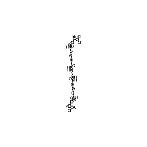 CN1Cc2c(Cl)cc(Cl)cc2C(c2ccc(S(=O)(=O)NCCOCCOCCOCCCC(=O)NCNCCCCNC(=O)NCCOCCOCCOCCNS(=O)(=O)c3ccc(C4CN(C)Cc5c(Cl)cc(Cl)cc54)cc3)cc2)C1